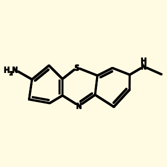 CNC1C=CC2=Nc3ccc(N)cc3SC2=C1